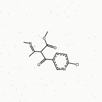 C/N=C(\C)C(C(=O)OC)C(=O)c1ccc(Cl)nc1